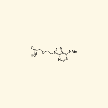 CNc1ncnc2c1ncn2CCOC[PH](=O)O